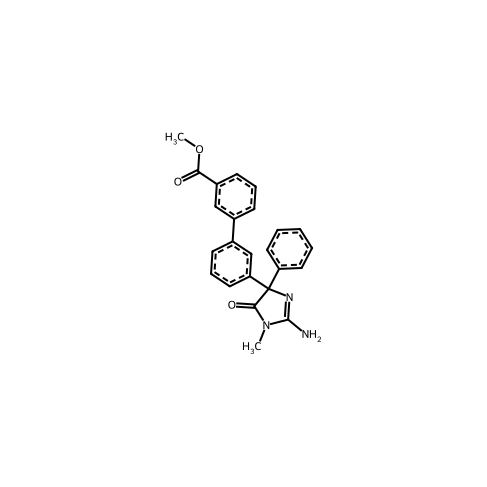 COC(=O)c1cccc(-c2cccc(C3(c4ccccc4)N=C(N)N(C)C3=O)c2)c1